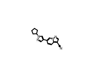 N#Cc1cnn2cc(-c3cnn(C4CCCC4)c3)ccc12